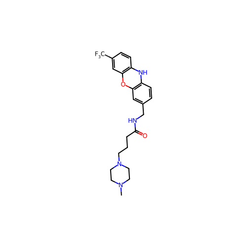 CN1CCN(CCCC(=O)NCc2ccc3c(c2)Oc2cc(C(F)(F)F)ccc2N3)CC1